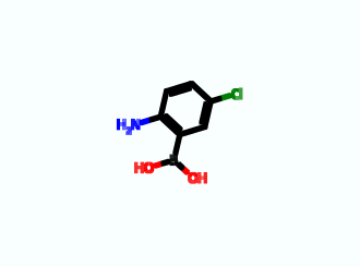 Nc1ccc(Cl)cc1B(O)O